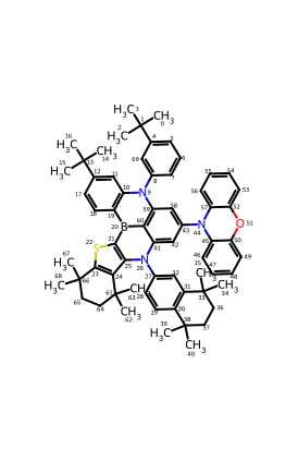 CC(C)(C)c1cccc(N2c3cc(C(C)(C)C)ccc3B3c4sc5c(c4N(c4ccc6c(c4)C(C)(C)CCC6(C)C)c4cc(N6c7ccccc7Oc7ccccc76)cc2c43)C(C)(C)CCC5(C)C)c1